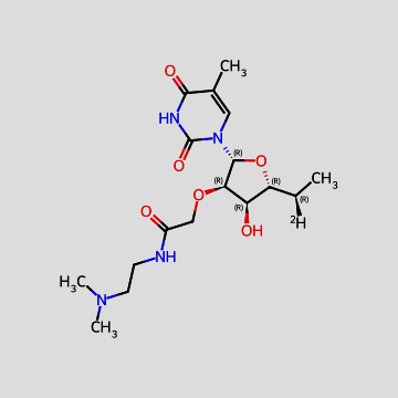 [2H][C@H](C)[C@H]1O[C@@H](n2cc(C)c(=O)[nH]c2=O)[C@H](OCC(=O)NCCN(C)C)[C@@H]1O